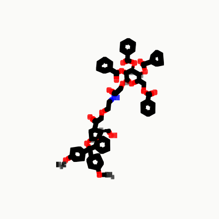 COc1ccc(C(O[C@H]2CC(C(=O)COCCNC(=O)CO[C@H]3OC(COC(=O)c4ccccc4)[C@@H](OC(=O)c4ccccc4)[C@@H](OC(=O)c4ccccc4)C3OC(=O)c3ccccc3)[C@H](CO)C2)(c2ccccc2)c2ccc(OC)cc2)cc1